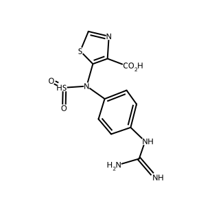 N=C(N)Nc1ccc(N(c2scnc2C(=O)O)[SH](=O)=O)cc1